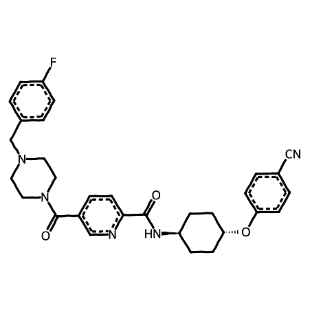 N#Cc1ccc(O[C@H]2CC[C@H](NC(=O)c3ccc(C(=O)N4CCN(Cc5ccc(F)cc5)CC4)cn3)CC2)cc1